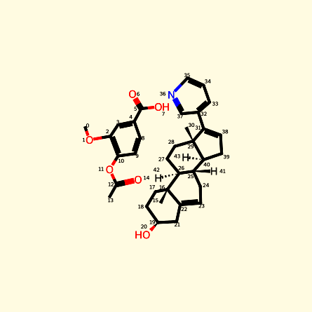 COc1cc(C(=O)O)ccc1OC(C)=O.C[C@]12CC[C@H](O)CC1=CC[C@@H]1[C@@H]2CC[C@]2(C)C(c3cccnc3)=CC[C@@H]12